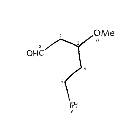 COC(CC=O)CCC(C)C